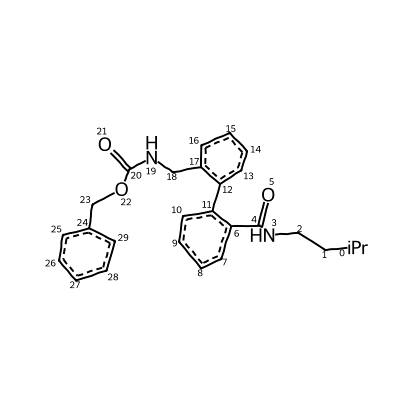 CC(C)CCNC(=O)c1ccccc1-c1ccccc1CNC(=O)OCc1ccccc1